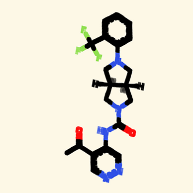 CC(=O)c1cnncc1NC(=O)N1C[C@@H]2CN(c3ccccc3C(F)(F)F)C[C@@H]2C1